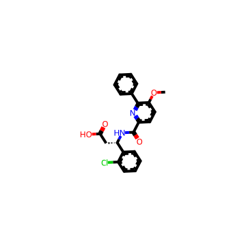 COc1ccc(C(=O)N[C@@H](CC(=O)O)c2ccccc2Cl)nc1-c1ccccc1